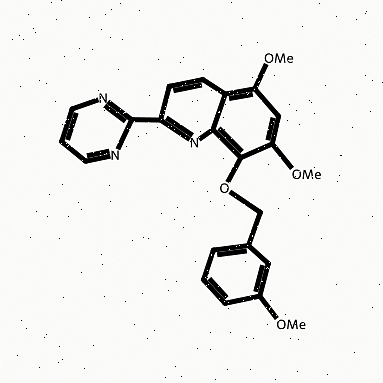 COc1cccc(COc2c(OC)cc(OC)c3ccc(-c4ncccn4)nc23)c1